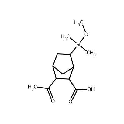 CO[Si](C)(C)C1CC2CC1C(C(=O)O)C2C(C)=O